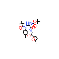 Cc1ccc2c(c1)N(CC(=O)c1ccc(C)o1)C(=O)C(NC(=O)OC(C)(C)C)CN2C(=O)C(C)(C)C